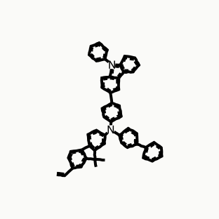 C=Cc1ccc2c(c1)C(C)(C)c1cc(N(c3ccc(-c4ccccc4)cc3)c3ccc(-c4ccc5c(c4)c4ccccc4n5-c4ccccc4)cc3)ccc1-2